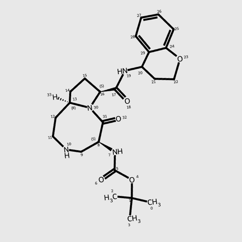 CC(C)(C)OC(=O)N[C@H]1CNCC[C@H]2CC[C@@H](C(=O)NC3CCOc4ccccc43)N2C1=O